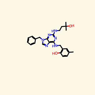 Cc1ccc(O)c(CNc2nc(NCCC(C)(C)O)nc3c2ncn3Cc2ccccc2)c1